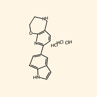 Cl.Cl.Cl.c1cc2cc(-c3ccc4c(n3)OCCNC4)ccc2[nH]1